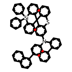 c1ccc(-c2ccccc2N(c2ccc(-c3cccc4ccccc34)cc2)c2ccc3c(c2)Sc2ccccc2C32c3ccccc3[Si](c3ccccc3)(c3ccccc3)c3ccccc32)cc1